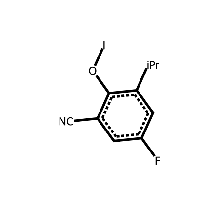 CC(C)c1cc(F)cc(C#N)c1OI